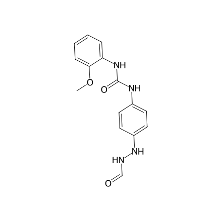 COc1ccccc1NC(=O)Nc1ccc(NNC=O)cc1